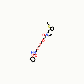 C#CCN(C/C=C/c1ccccc1SCCC)C(=O)CCOCCOCCOCCNC(=O)OC1CC/C=C/CCC1